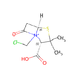 CC1(C)S[C@@H]2CC(=O)[N+]2(CCl)[C@H]1C(=O)O